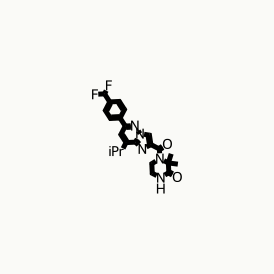 CC(C)c1cc(-c2ccc(C(F)F)cc2)nn2cc(C(=O)N3CCNC(=O)C3(C)C)nc12